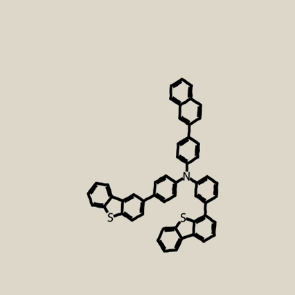 c1cc(-c2cccc3c2sc2ccccc23)cc(N(c2ccc(-c3ccc4ccccc4c3)cc2)c2ccc(-c3ccc4sc5ccccc5c4c3)cc2)c1